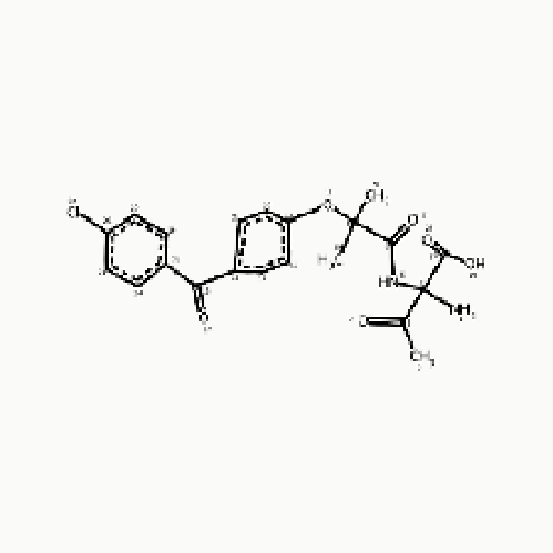 CC(=O)C(N)(NC(=O)C(C)(C)Oc1ccc(C(=O)c2ccc(Cl)cc2)cc1)C(=O)O